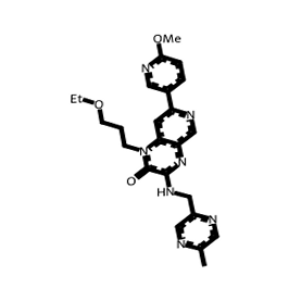 CCOCCCn1c(=O)c(NCc2cnc(C)cn2)nc2cnc(-c3ccc(OC)nc3)cc21